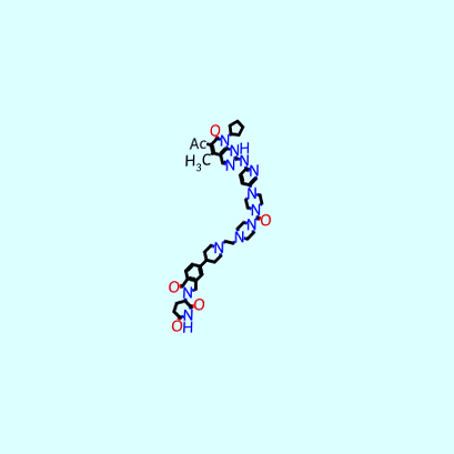 CC(=O)c1c(C)c2cnc(Nc3ccc(N4CCN(C(=O)N5CCN(CCN6CCC(c7ccc8c(c7)CN(C7CCC(=O)NC7=O)C8=O)CC6)CC5)CC4)cn3)nc2n(C2CCCC2)c1=O